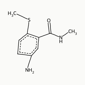 CNC(=O)c1cc(N)ccc1SC